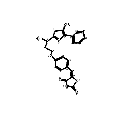 Cc1sc(N(C)CCOc2ccc(C=C3SC(=O)NC3=O)cc2)nc1-c1ccccc1